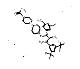 CC(=O)N1CCN([C@H]2CCN(OC(=O)N(C)[C@H](C)c3cc(C(F)(F)F)cc(C(F)(F)F)c3)[C@@H](c3ccc(F)cc3C)C2)CC1